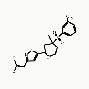 CC1(S(=O)(=O)c2cccc(C(F)(F)F)c2)CCOC(c2cc(CC(F)F)n[nH]2)C1